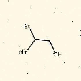 C[CH]C(CO)CCC